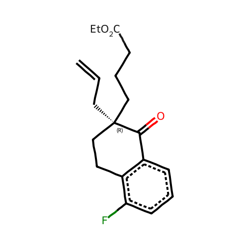 C=CC[C@@]1(CCCC(=O)OCC)CCc2c(F)cccc2C1=O